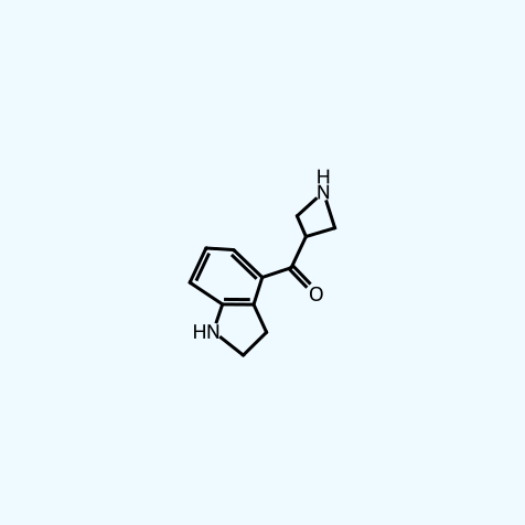 O=C(c1cccc2c1CCN2)C1CNC1